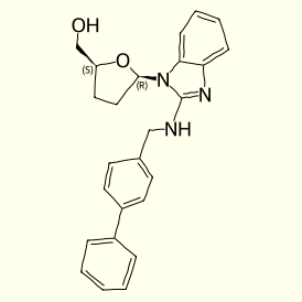 OC[C@@H]1CC[C@H](n2c(NCc3ccc(-c4ccccc4)cc3)nc3ccccc32)O1